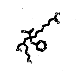 CCCCC(CC)CC(CCCCCCC(=O)O)(Cc1ccccc1)C(=O)O